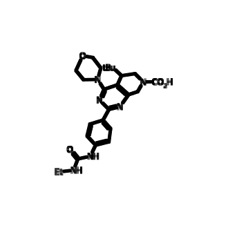 CCNC(=O)Nc1ccc(-c2nc3c(c(N4CCOCC4)n2)C(C(C)(C)C)CN(C(=O)O)C3)cc1